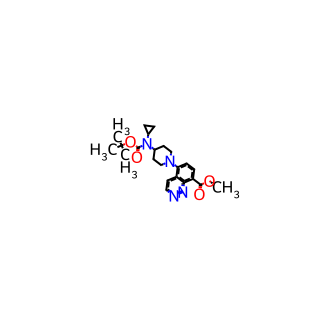 COC(=O)c1ccc(N2CCC(N(C(=O)OC(C)(C)C)C3CC3)CC2)c2ccnnc12